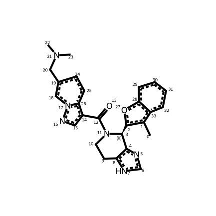 Cc1c([C@H]2c3nc[nH]c3CCN2C(=O)c2cnn3cc(CN(C)C)ccc23)oc2ccccc12